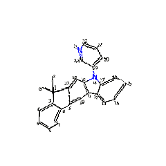 CC1(C)c2ccccc2-c2cc3c4ccccc4n(-c4cccnc4)c3cc21